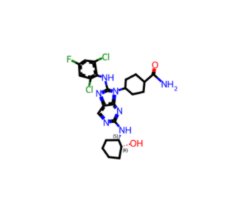 NC(=O)C1CCC(n2c(Nc3c(Cl)cc(F)cc3Cl)nc3cnc(N[C@H]4CCCC[C@H]4O)nc32)CC1